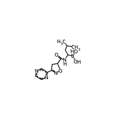 CC(C)CC(NC(=O)C1CC(c2cnccn2)=NO1)B(O)O